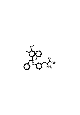 COc1ccc(C(Cc2ccccc2)(Cc2ccccc2)Oc2cccc(CC(N)C(=O)O)c2)cc1C